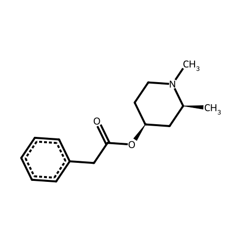 C[C@H]1C[C@@H](OC(=O)Cc2ccccc2)CCN1C